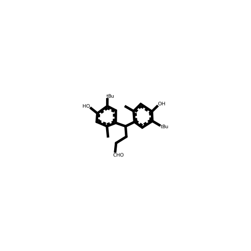 Cc1cc(O)c(C(C)(C)C)cc1C(CCC=O)c1cc(C(C)(C)C)c(O)cc1C